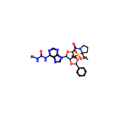 CCNC(=O)Nc1ncnc2c1ncn2C1OC(C(=O)N2CCCC2(C)S(C)(=O)=O)C2OC(c3ccccc3)OC21